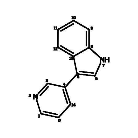 c1cncc(-c2c[nH]c3ccccc23)c1